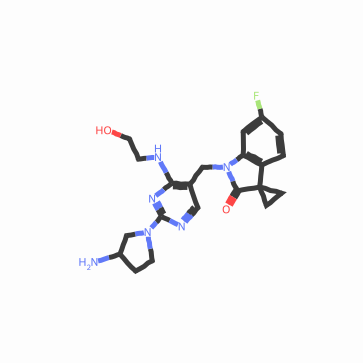 NC1CCN(c2ncc(CN3C(=O)C4(CC4)c4ccc(F)cc43)c(NCCO)n2)C1